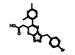 Cc1ccc(C2=Nn3c(Cc4ccc(Br)cc4)nnc3SC2CC(=O)O)c(C)c1